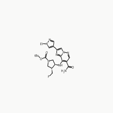 CCn1cc(-c2cn3ncc(C(N)=O)c(N[C@@H]4CN(C(=O)OC(C)(C)C)C[C@@H]4CF)c3n2)cn1